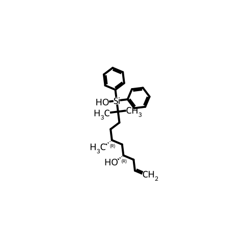 C=CC[C@H](O)C[C@H](C)CCC(C)(C)[Si](O)(c1ccccc1)c1ccccc1